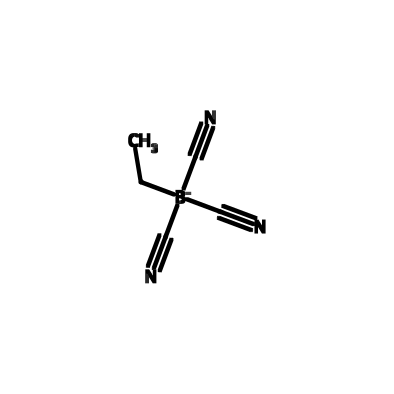 CC[B-](C#N)(C#N)C#N